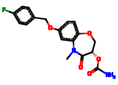 CN1C(=O)[C@@H](OC(N)=O)COc2ccc(OCc3ccc(F)cc3)cc21